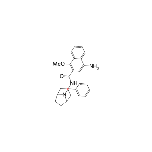 COc1c(C(=O)NC2CC3CCC(C2)N3Cc2ccccc2)cc(N)c2ccccc12